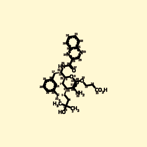 CC(C)(O)CC[C@H](C[C@H](OC(=O)OCCC(=O)O)[C@H](Cc1cccc(F)c1)NC(=O)c1cnc2ccccc2n1)C(N)=O